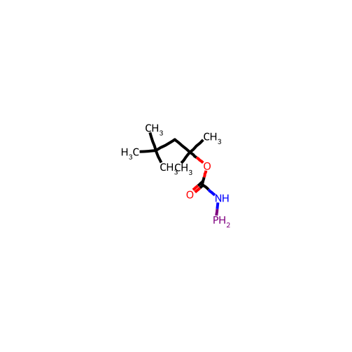 CC(C)(C)CC(C)(C)OC(=O)NP